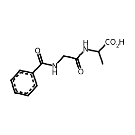 CC(NC(=O)CNC(=O)c1ccccc1)C(=O)O